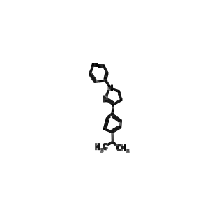 CC(C)c1ccc(C2=NN(c3ccccc3)CC2)cc1